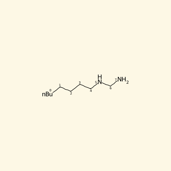 [CH2]CCCCCCCNCN